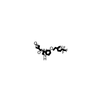 CON1CC(C(=O)Nc2c[nH]c3ccc(OCCc4ccc(C(F)(F)F)nc4)cc23)C1